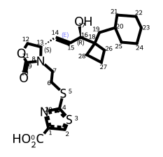 O=C(O)c1csc(SCCN2C(=O)OC[C@@H]2/C=C/[C@@H](O)C2(CC3CCCCC3)CCC2)n1